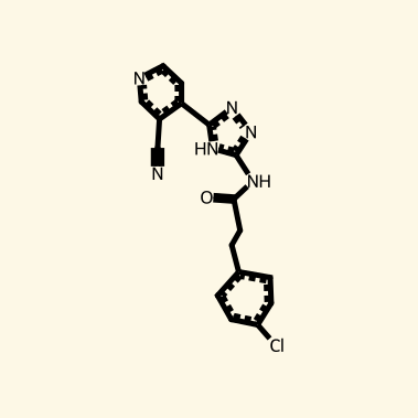 N#Cc1cnccc1-c1nnc(NC(=O)CCc2ccc(Cl)cc2)[nH]1